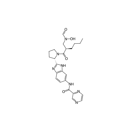 CCCC[C@H](CN(O)C=O)C(=O)N1CCC[C@H]1c1nc2ccc(NC(=O)c3cnccn3)cc2[nH]1